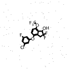 OC1c2c(OC(F)(F)F)ccc(Oc3cc(F)cc(Cl)c3)c2CC1(F)F